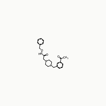 CC(=O)c1cccc(CN2CCN(CC(=O)NOCc3ccccc3)CC2)c1